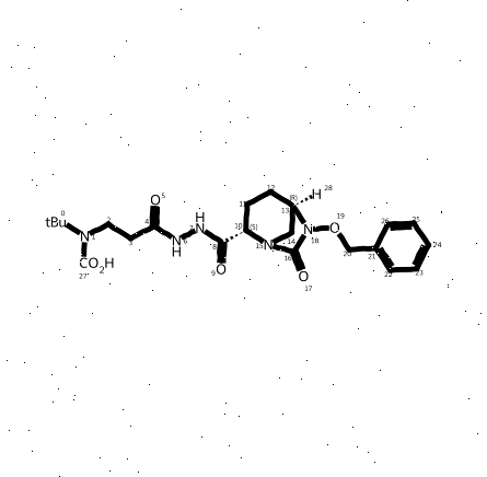 CC(C)(C)N(CCC(=O)NNC(=O)[C@@H]1CC[C@@H]2CN1C(=O)N2OCc1ccccc1)C(=O)O